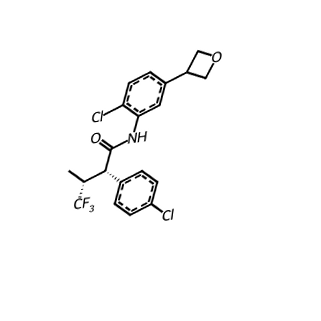 C[C@H]([C@H](C(=O)Nc1cc(C2COC2)ccc1Cl)c1ccc(Cl)cc1)C(F)(F)F